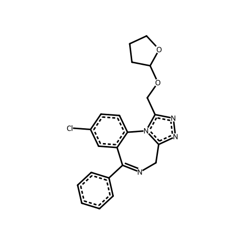 Clc1ccc2c(c1)C(c1ccccc1)=NCc1nnc(COC3CCCO3)n1-2